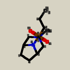 CC(C)(C)N1CC2CCC(C1)N2S(=O)(=O)CCC(F)(F)F